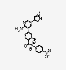 Cn1cc(-c2cnc(N)c(-c3ccc(C(=O)S(=O)(=O)c4ccc([N+](=O)[O-])cc4)c(F)c3)c2)cn1